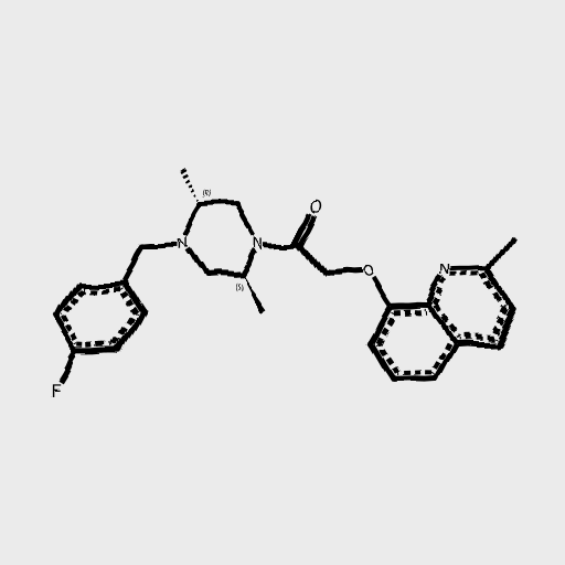 Cc1ccc2cccc(OCC(=O)N3C[C@@H](C)N(Cc4ccc(F)cc4)C[C@@H]3C)c2n1